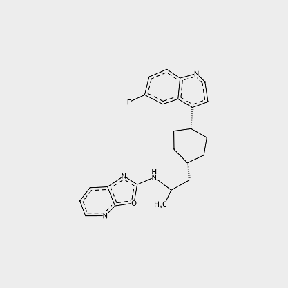 CC(C[C@H]1CC[C@@H](c2ccnc3ccc(F)cc32)CC1)Nc1nc2cccnc2o1